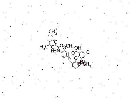 COc1cc(NCc2cccc(OC)c2Oc2c(C(=O)O)cc(Cl)cc2[N+](=O)[O-])ccc1NC(=O)COC1CC(C)CCC1C(C)C